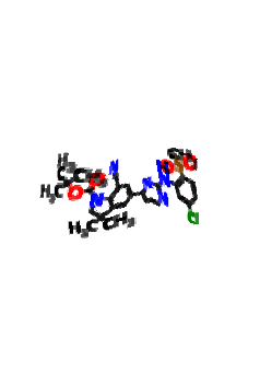 CC(C)(C)OC(=O)N1CC(C)(C)c2cc(-c3ccnc(Nc4cc(Cl)ccc4S(C)(=O)=O)n3)cc(C#N)c21